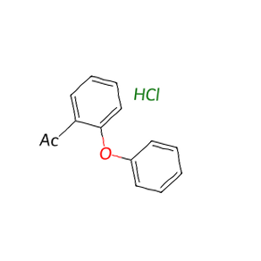 CC(=O)c1ccccc1Oc1ccccc1.Cl